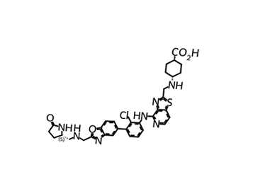 O=C1CC[C@@H](CNCc2nc3cc(-c4cccc(Nc5nccc6sc(CN[C@H]7CC[C@H](C(=O)O)CC7)nc56)c4Cl)ccc3o2)N1